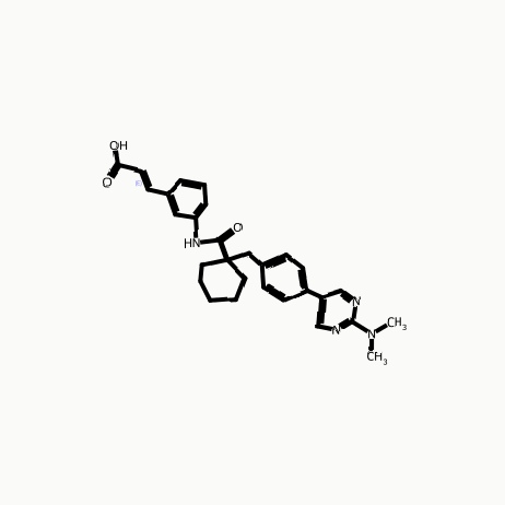 CN(C)c1ncc(-c2ccc(CC3(C(=O)Nc4cccc(/C=C/C(=O)O)c4)CCCCC3)cc2)cn1